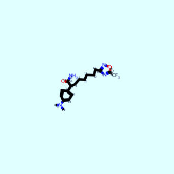 CN(C)c1ccc(C(CCCCCCc2noc(C(F)(F)F)n2)C(N)=O)cc1